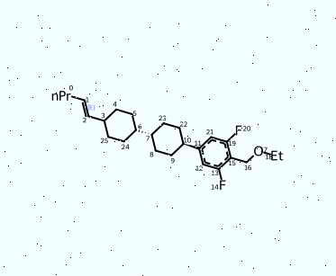 CCC/C=C/C1CCC([C@H]2CC[C@H](c3cc(F)c(COCC)c(F)c3)CC2)CC1